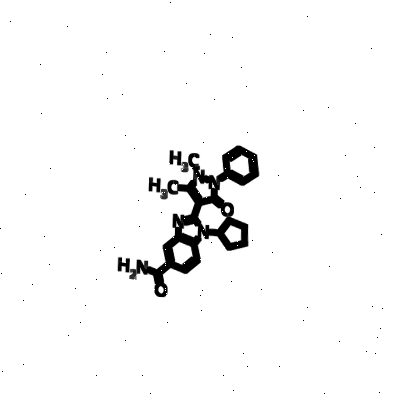 Cc1c(-c2nc3cc(C(N)=O)ccc3n2C2CCCC2)c(=O)n(-c2ccccc2)n1C